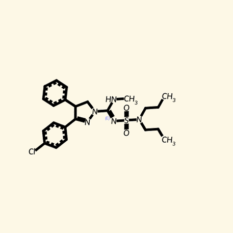 CCCN(CCC)S(=O)(=O)/N=C(\NC)N1CC(c2ccccc2)C(c2ccc(Cl)cc2)=N1